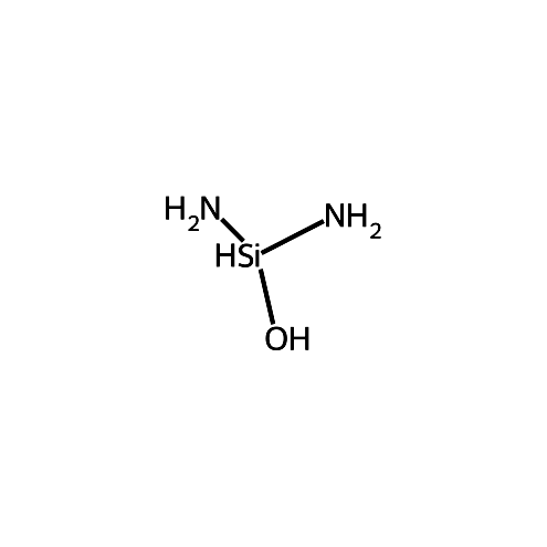 N[SiH](N)O